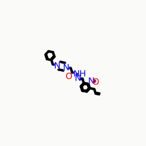 C=CCc1cccc(/C=N/NC(=O)CN2CCN(CC3=CCCC=C3)CC2)c1N=O